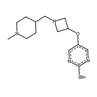 CN1CCC(CN2CC(Oc3cnc(C(C)(C)C)nc3)C2)CC1